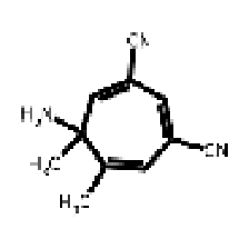 CC1=CC(C#N)=CC(C#N)=CC1(C)N